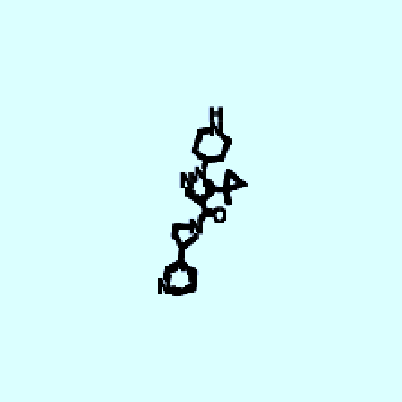 CC1(c2c(C(=O)N3CCC(c4cccnc4)C3)cnn2C2CCNCC2)CC1